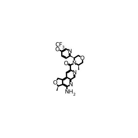 C[C@@H]1COC[C@H](c2ccc(OC(F)(F)F)cn2)N1C(=O)c1cc2c3c(c(N)nc2cn1)[C@@H](C)OC3